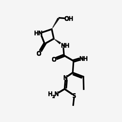 C/C=C(\N=C(\N)SC)C(=N)C(=O)N[C@@H]1C(=O)N[C@@H]1CO